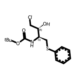 CC(C)(C)OC(=O)N[C@H](CSc1ccccc1)[C@@H](O)CCl